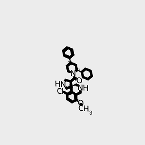 COc1ccc(Cl)c2c1CNC[C@]21CNCC1C(=O)N1CC[C@@H](c2ccccc2)C[C@H]1C1CCCCC1